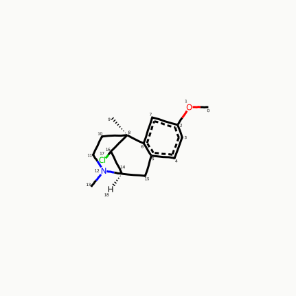 COc1ccc2c(c1)[C@]1(C)CCN(C)[C@H](C2)C1Cl